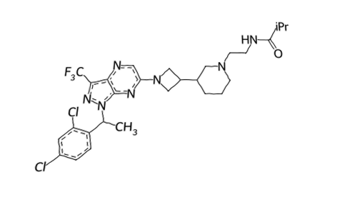 CC(C)C(=O)NCCN1CCCC(C2CN(c3cnc4c(C(F)(F)F)nn(C(C)c5ccc(Cl)cc5Cl)c4n3)C2)C1